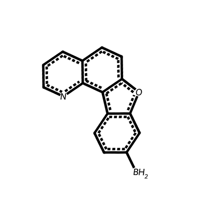 Bc1ccc2c(c1)oc1ccc3cccnc3c12